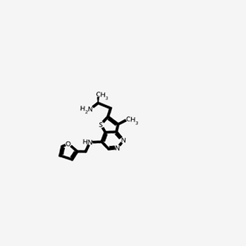 Cc1c(C[C@H](C)N)sc2c(NCc3ccco3)cnnc12